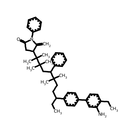 C=C1C(C(C)(C)C(C)(C)CC(c2ccccc2)C(C)(C)CCC(CC)c2ccc(-c3ccc(CC)c(N)c3)cc2)CC(=O)N1c1ccccc1